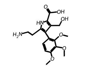 COc1ccc(-c2c(CCN)[nH]c(C(=O)O)c2CO)c(OC)c1OC